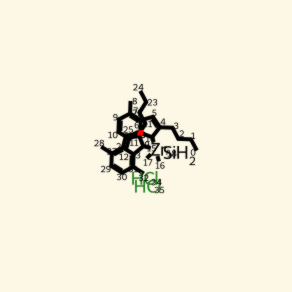 CCCCC1=Cc2c(C)ccc(C)c2[CH]1[Zr]([CH3])([CH3])(=[SiH2])[CH]1C(CCCC)=Cc2c(C)ccc(C)c21.Cl.Cl